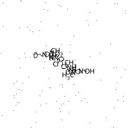 Cc1c(NC(=O)c2nc3c(n2C)CCN(CCO)C3)cccc1-c1cccc(NC(=O)c2nc3c(n2C)CCN(CCC24CCC(CC2)C4)C3)c1Cl